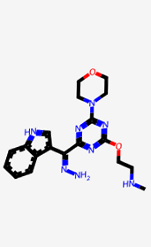 CNCCOc1nc(C(=NN)c2c[nH]c3ccccc23)nc(N2CCOCC2)n1